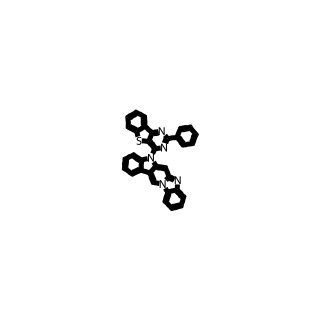 c1ccc(-c2nc(-n3c4ccccc4c4cn5c(cc43)nc3ccccc35)c3sc4ccccc4c3n2)cc1